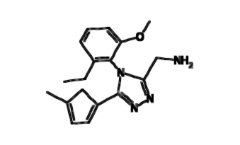 CCc1cccc(OC)c1-n1c(CN)nnc1C1=CC=C(C)C1